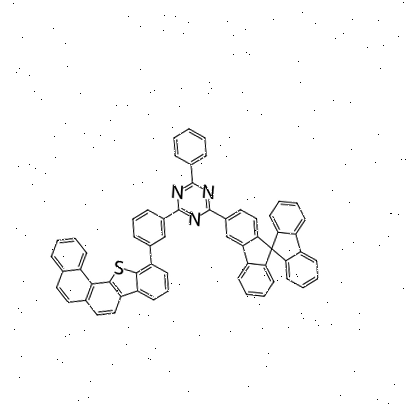 c1ccc(-c2nc(-c3cccc(-c4cccc5c4sc4c5ccc5ccc6ccccc6c54)c3)nc(-c3ccc4c(c3)-c3ccccc3C43c4ccccc4-c4ccccc43)n2)cc1